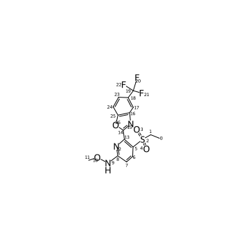 CCS(=O)(=O)c1ccc(NOC)nc1-c1nc2cc(C(F)(F)F)ccc2o1